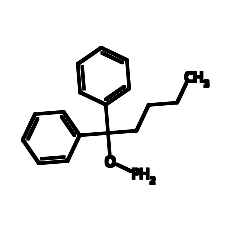 CCCCC(OP)(c1ccccc1)c1ccccc1